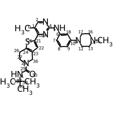 Cc1cnc(Nc2cccc(N3CCN(C)CC3)c2)nc1-c1cc2c(s1)CCN(C(=O)NC(C)(C)C)C2